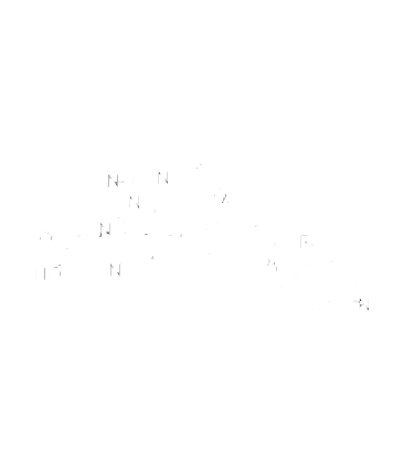 N#CCC1(Cn2c(CN3CCC(Oc4cccc(COc5ccc(C#N)cc5F)c4)CC3)nc3ccc(CC(=O)O)nc32)CC1